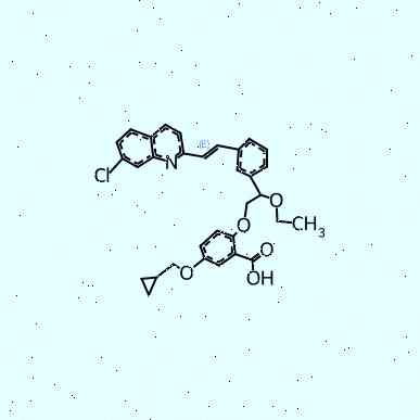 CCOC(COc1ccc(OCC2CC2)cc1C(=O)O)c1cccc(/C=C/c2ccc3ccc(Cl)cc3n2)c1